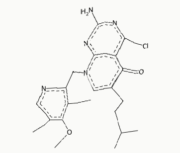 COc1c(C)cnc(Cn2cc(CCC(C)C)c(=O)c3c(Cl)nc(N)nc32)c1C